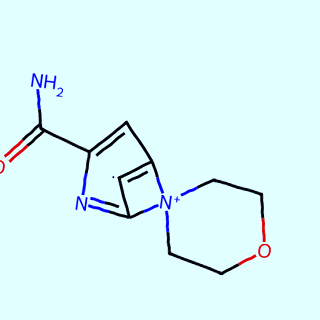 NC(=O)c1cc2[c]c(n1)[N+]21CCOCC1